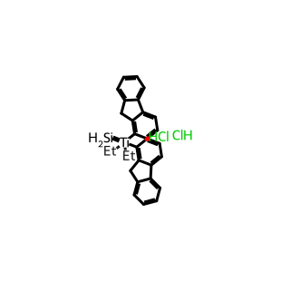 C[CH2][Ti](=[SiH2])([CH2]C)([c]1cccc2c1Cc1ccccc1-2)[c]1cccc2c1Cc1ccccc1-2.Cl.Cl